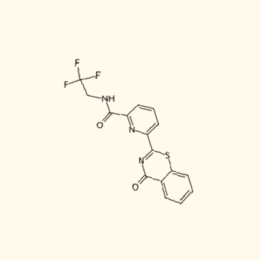 O=C(NCC(F)(F)F)c1cccc(-c2nc(=O)c3ccccc3s2)n1